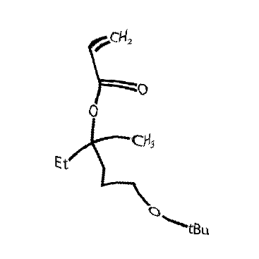 C=CC(=O)OC(C)(CC)CCOC(C)(C)C